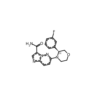 NC(=O)c1cnc2ccc(N3CCOC[C@@H]3c3cccc(F)c3)nn12